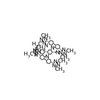 Cc1nc(C)nc(-c2ccc3c4ccc(-c5nc(C)nc(C)n5)cc4n(-c4cc(-c5ccc(C(F)(F)F)cc5C#N)c(-n5c6cc(-c7nc(C)nc(C)n7)ccc6c6ccc(-c7nc(C)nc(C)n7)cc65)cc4C#N)c3c2)n1